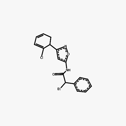 CCC(C(=O)Nc1cc(C2CC=CC=C2Cl)no1)c1ccccc1